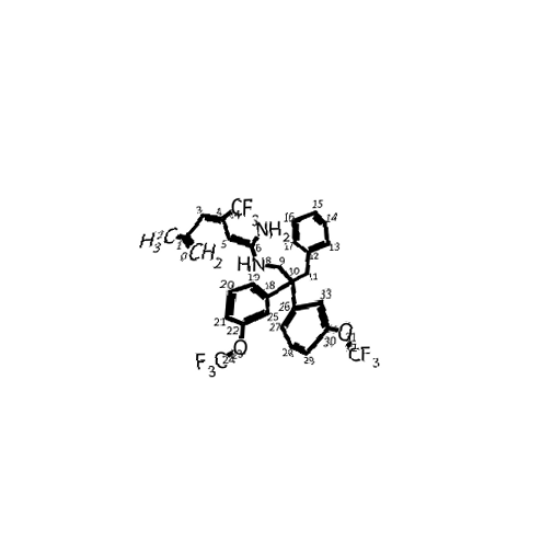 C=C(C)/C=C(\C=C(/N)NCC(Cc1ccccc1)(c1cccc(OC(F)(F)F)c1)c1cccc(OC(F)(F)F)c1)C(F)(F)F